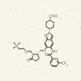 C[Si](C)(C)CCOCN1C(=O)CC[C@H]1COc1cc2nn([C@H]3CC[C@H](C=O)CC3)cc2cc1NC(=O)c1cccc(C(F)(F)F)n1